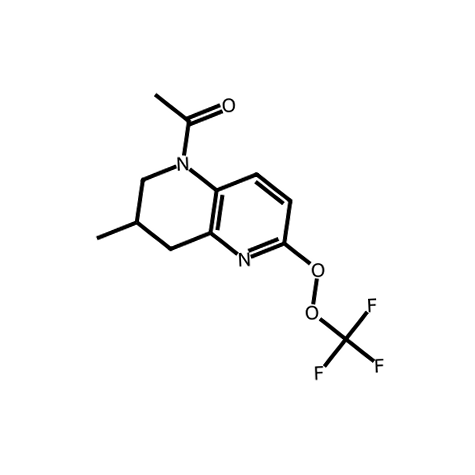 CC(=O)N1CC(C)Cc2nc(OOC(F)(F)F)ccc21